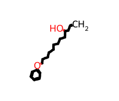 C=CCC(O)CCCCCCCCCOc1ccccc1